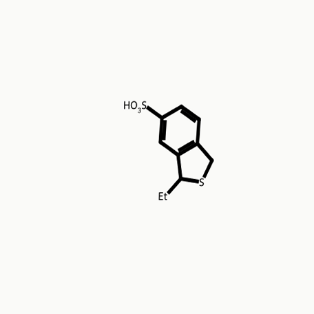 CCC1SCc2ccc(S(=O)(=O)O)cc21